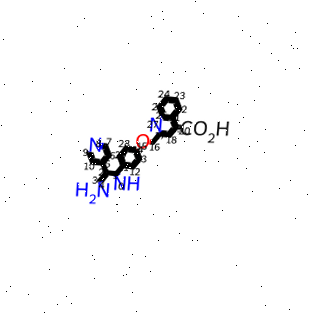 N=C(/C(=C\N)c1ccncc1)c1ccc(OCc2cc(C(=O)O)c3ccccc3n2)cc1